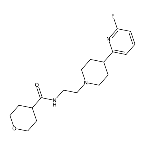 O=C(NCCN1CCC(c2cccc(F)n2)CC1)C1CCOCC1